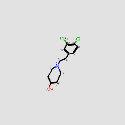 OC1CCN(CCc2ccc(Cl)c(Cl)c2)CC1